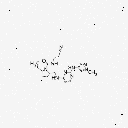 CCC1CC[C@H](CNc2ccnc(Nc3cnn(C)c3)n2)N1C(=O)NCCC#N